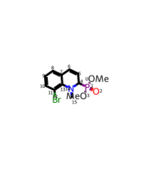 COP(=O)(OC)C1C=Cc2cccc(Br)c2N1C